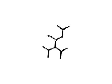 CC(C)CN(S)C(C(C)C)C(C)C